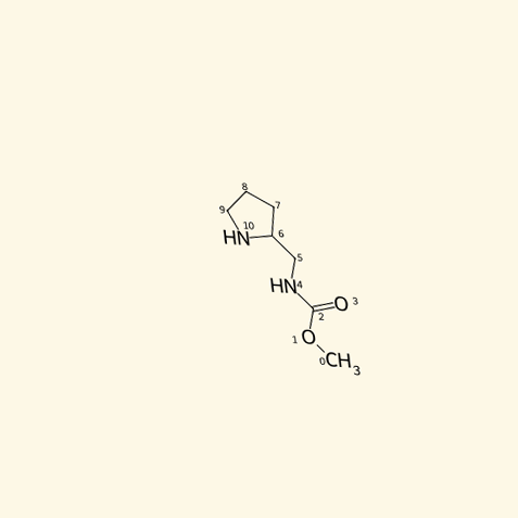 COC(=O)NCC1CCCN1